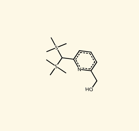 CS(C)(C)C(c1cccc(CO)n1)S(C)(C)C